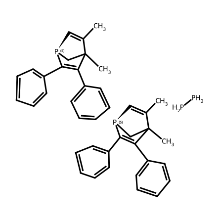 CC1=C[P@@]2CC1(C)C(c1ccccc1)=C2c1ccccc1.CC1=C[P@@]2CC1(C)C(c1ccccc1)=C2c1ccccc1.PP